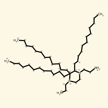 CCCCCCCCCCCCC1N(CCN)CCN(CCN)C1(CCCCCCCCCCCC)CCCCCCCCCCCC